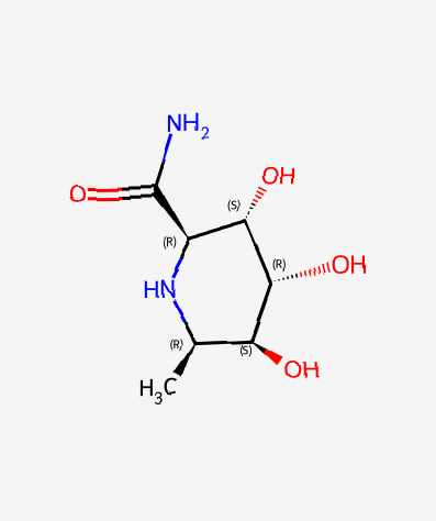 C[C@H]1N[C@@H](C(N)=O)[C@H](O)[C@H](O)[C@H]1O